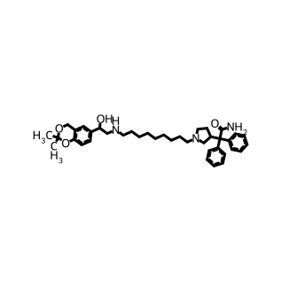 CC1(C)OCc2cc(C(O)CNCCCCCCCCCN3CCC(C(C(N)=O)(c4ccccc4)c4ccccc4)C3)ccc2O1